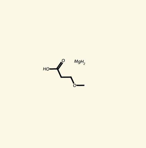 COCCC(=O)O.[MgH2]